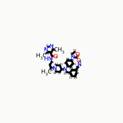 Cc1ncnc(C)c1C(=O)NCCC(C)N1CCC(N(Cc2cccc(C#N)c2)c2ccc(N3CCOC3=O)cc2)CC1